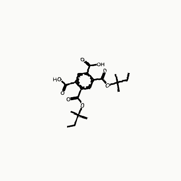 CCC(C)(C)OC(=O)c1cc(C(=O)OC(C)(C)CC)c(C(=O)O)cc1C(=O)O